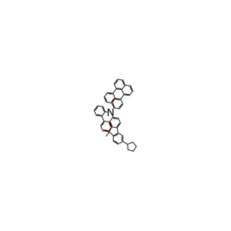 CC1(C)c2ccc(C3CCCC3)cc2-c2ccc(N(c3ccc(-c4cccc5cccc(-c6ccccc6)c45)cc3)c3ccccc3-c3ccccc3)cc21